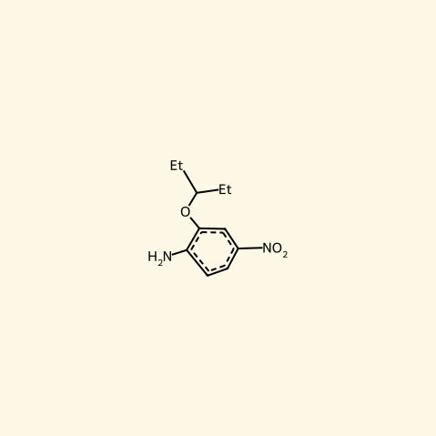 CCC(CC)Oc1cc([N+](=O)[O-])ccc1N